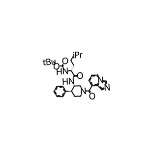 CC(C)CC[C@@H](NC(=O)OC(C)(C)C)C(=O)N[C@@H]1CN(C(=O)c2cccn3cncc23)CC[C@H]1c1ccccc1